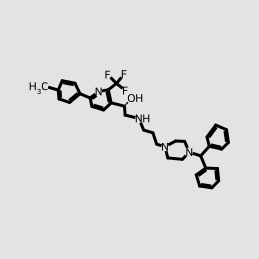 Cc1ccc(-c2ccc([C@H](O)CNCCCN3CCN(C(c4ccccc4)c4ccccc4)CC3)c(C(F)(F)F)n2)cc1